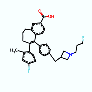 Cc1cc(F)ccc1C1=C(c2ccc(CC3CN(CCCF)C3)cc2)c2ccc(C(=O)O)cc2CCC1